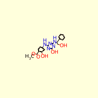 COC(=O)c1ccc(Nc2nc(O)nc(NC(CO)c3ccccc3)n2)cc1O